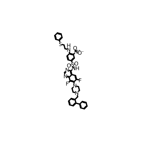 O=[N+]([O-])c1cc(S(=O)(=O)Nc2ncnc3c(F)c(N4CCN(Cc5ccccc5-c5ccccc5)CC4)c(F)cc23)ccc1NCCSc1ccccc1